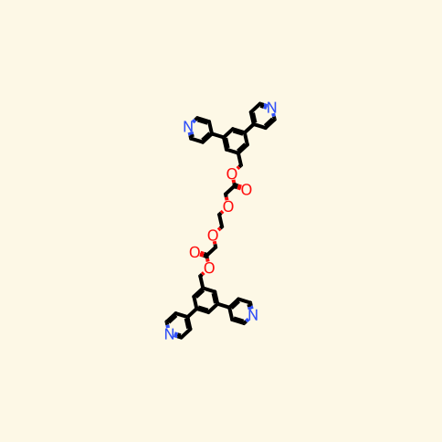 O=C(COCCOCC(=O)OCc1cc(-c2ccncc2)cc(-c2ccncc2)c1)OCc1cc(-c2ccncc2)cc(-c2ccncc2)c1